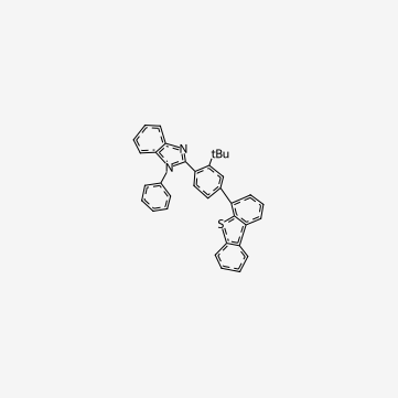 CC(C)(C)c1cc(-c2cccc3c2sc2ccccc23)ccc1-c1nc2ccccc2n1-c1ccccc1